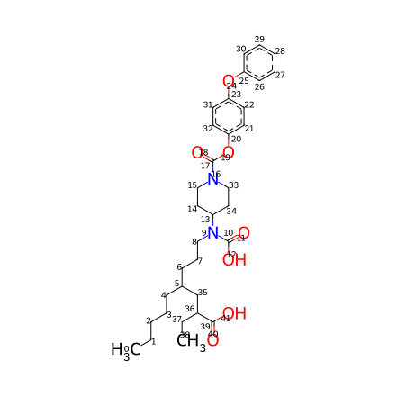 CCCCCC(CCCN(C(=O)O)C1CCN(C(=O)Oc2ccc(Oc3ccccc3)cc2)CC1)CC(CC)C(=O)O